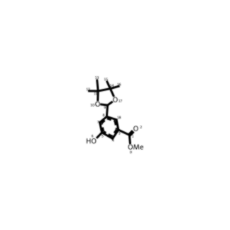 COC(=O)c1cc(O)cc(C2OC(C)(C)C(C)(C)O2)c1